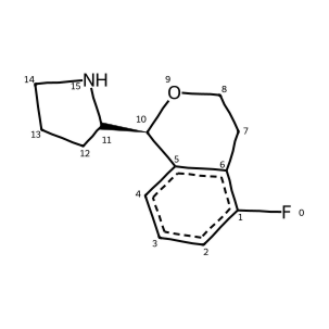 Fc1cccc2c1CCO[C@@H]2C1CCCN1